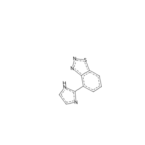 c1cc(-c2ncc[nH]2)c2nnsc2c1